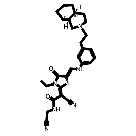 CCn1c(=C(C#N)C(=O)NCC#N)sc(=CNc2cccc(CCN3CC[C@@H]4CCCC[C@@H]4C3)c2)c1=O